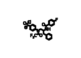 O=C(NC(Cc1ccccc1)CN(C(=O)C(F)(F)F)c1ccc(S(=O)(=O)Cl)cc1)c1ccc(F)cc1